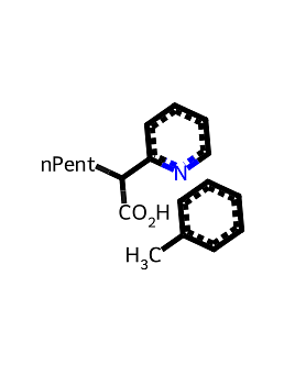 CCCCCC(C(=O)O)c1ccccn1.Cc1ccccc1